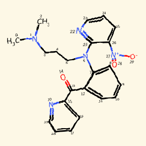 CN(C)CCCN(c1ccccc1C(=O)c1ccccn1)c1ncccc1[N+](=O)[O-]